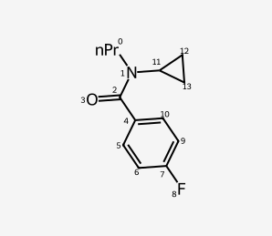 CCCN(C(=O)c1ccc(F)cc1)C1CC1